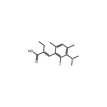 CC/C(=C\c1c(I)cc(I)c(N(C)C)c1I)C(=O)O